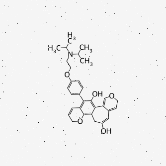 CC(C)N(CCOc1ccc(-c2c(O)c3c(c4c2C=CCO4)CC(O)=CC2=CCOC=C23)cc1)C(C)C